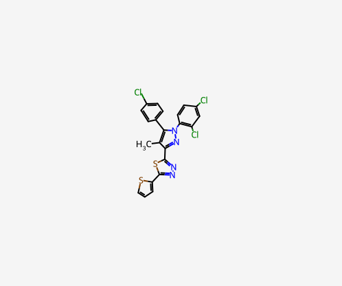 Cc1c(-c2nnc(-c3cccs3)s2)nn(-c2ccc(Cl)cc2Cl)c1-c1ccc(Cl)cc1